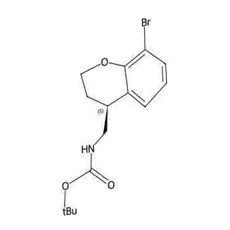 CC(C)(C)OC(=O)NC[C@H]1CCOc2c(Br)cccc21